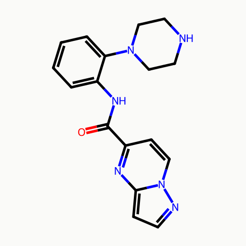 O=C(Nc1ccccc1N1CCNCC1)c1ccn2nccc2n1